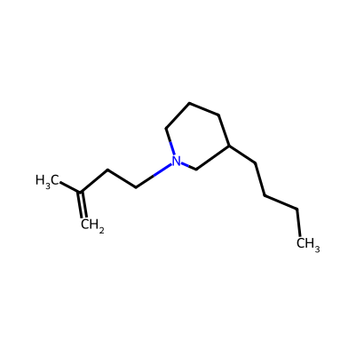 C=C(C)CCN1CCCC(CCCC)C1